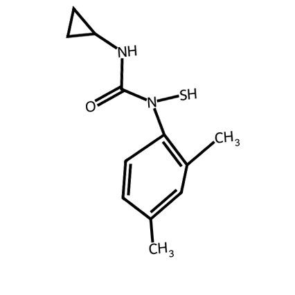 Cc1ccc(N(S)C(=O)NC2CC2)c(C)c1